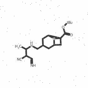 CC(NCC1CC2CC3(C(=O)OC(C)(C)C)C(C1)N23)C(C#N)C=N